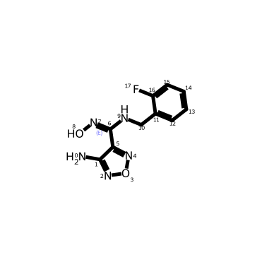 Nc1nonc1/C(=N\O)NCc1ccccc1F